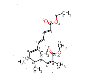 CCOC(=O)/C=C/C=C/C(C)=C/[C@H](C)[C@@H](C)C/C=C(/C)C(=O)OC